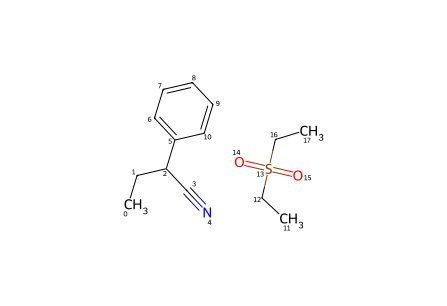 CCC(C#N)c1ccccc1.CCS(=O)(=O)CC